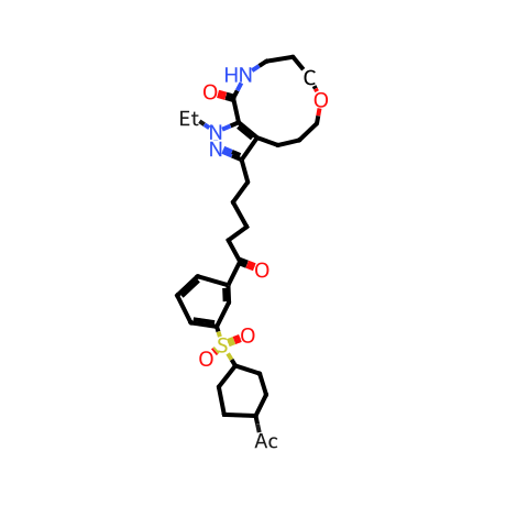 CCn1nc(CCCCC(=O)c2cccc(S(=O)(=O)C3CCC(C(C)=O)CC3)c2)c2c1C(=O)NCCCOCCC2